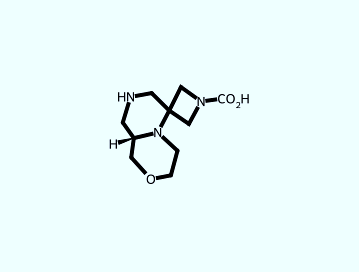 O=C(O)N1CC2(CNC[C@H]3COCCN32)C1